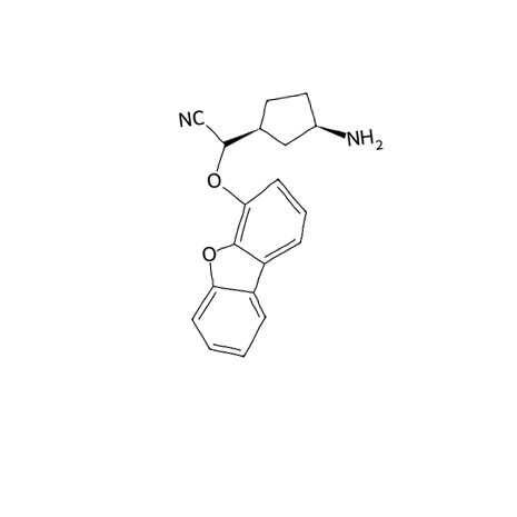 N#CC(Oc1cccc2c1oc1ccccc12)[C@H]1CC[C@@H](N)C1